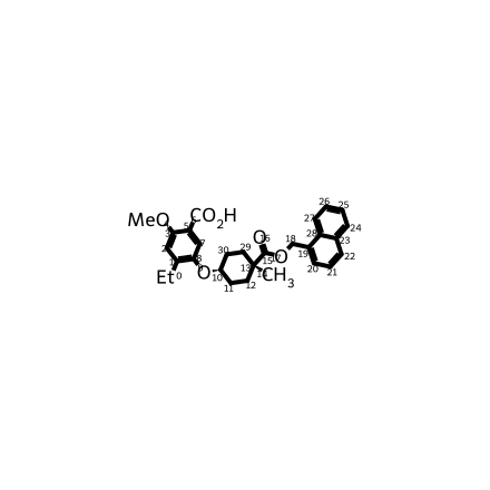 CCc1cc(OC)c(C(=O)O)cc1O[C@H]1CC[C@@](C)(C(=O)OCc2cccc3ccccc23)CC1